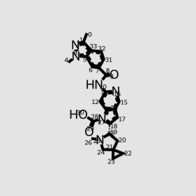 Cc1nn(C)c2cc(C(=O)Nc3cc4c(cn3)cc([C@@H]3CC5(CC5)CN3C)n4C(=O)O)ccc12